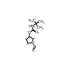 CC(C)(C)NC(=O)O[C@@H]1CCN(N=O)C1